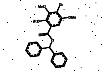 CCc1c(OC)cc(C(=O)OC(c2ccccc2)c2ccccc2)c(OC(C)=O)c1OC